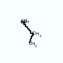 CCCCCCCC(C)CCCCCCCCCC(=O)OC